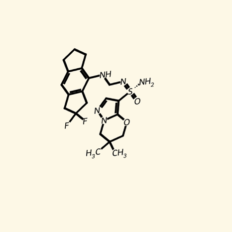 CC1(C)COc2c([S@](N)(=O)=NCNc3c4c(cc5c3CC(F)(F)C5)CCC4)cnn2C1